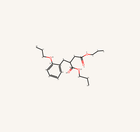 CCCOC(=O)CC(Cc1ccccc1OCCC)C(=O)OCCC